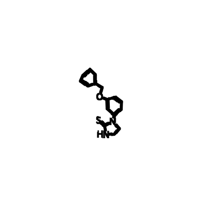 S=C1NCCN1c1cccc(OCc2ccccc2)c1